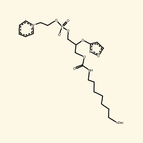 CCCCCCCCCCCCCCCCCNC(=O)OCC(COP(=O)([O-])OCC[n+]1ccccc1)Oc1ccon1